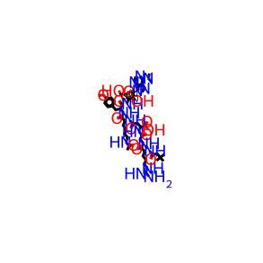 COc1ccc(CC(NC(=O)C(CCCCNC(C)=O)NC(=O)CC(NC(=O)CNC(=O)C(CCCNC(=N)N)NC(=O)CC(C)(C)C)C(=O)O)C(=O)NC2[C@@H](CO)O[C@@H](n3cnc4c(N(C)C)ncnc43)[C@H]2O)cc1